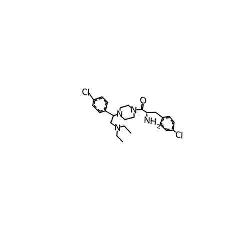 CCN(CC)CC(c1ccc(Cl)cc1)N1CCN(C(=O)[C@H](N)Cc2ccc(Cl)cc2)CC1